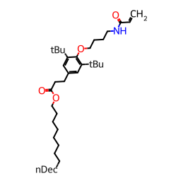 C=CC(=O)NCCCCOc1c(C(C)(C)C)cc(CCC(=O)OCCCCCCCCCCCCCCCCCC)cc1C(C)(C)C